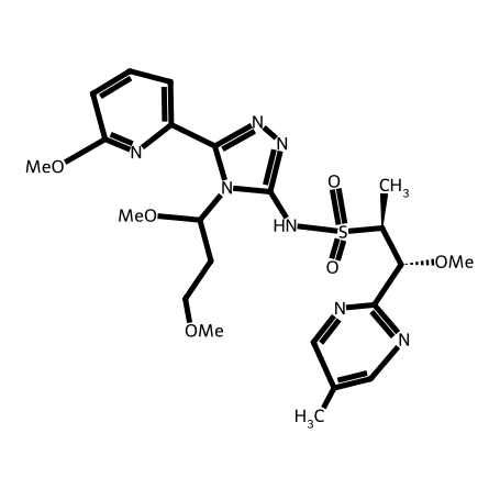 COCCC(OC)n1c(NS(=O)(=O)[C@@H](C)[C@H](OC)c2ncc(C)cn2)nnc1-c1cccc(OC)n1